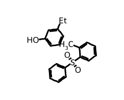 CCc1cccc(O)c1.Cc1ccccc1S(=O)(=O)c1ccccc1